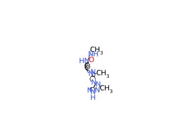 CCNCC(=O)NC12CCC(Cn3nc(C)c4c3CCN(c3nc(C)nc5[nH]ncc35)C4)(CC1)CC2